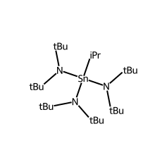 C[CH](C)[Sn]([N](C(C)(C)C)C(C)(C)C)([N](C(C)(C)C)C(C)(C)C)[N](C(C)(C)C)C(C)(C)C